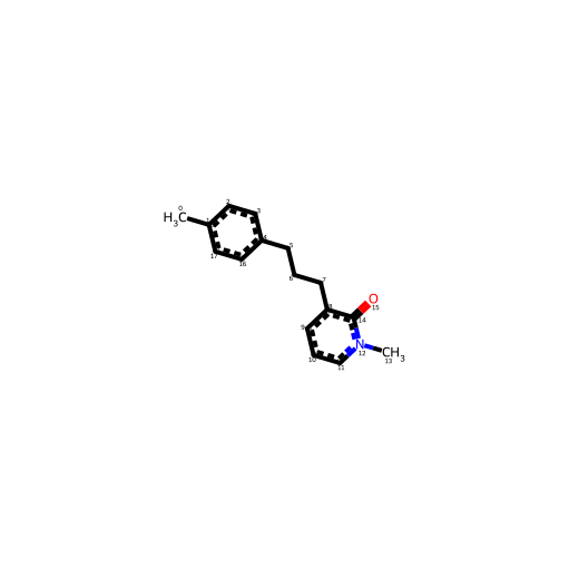 Cc1ccc(CCCc2cccn(C)c2=O)cc1